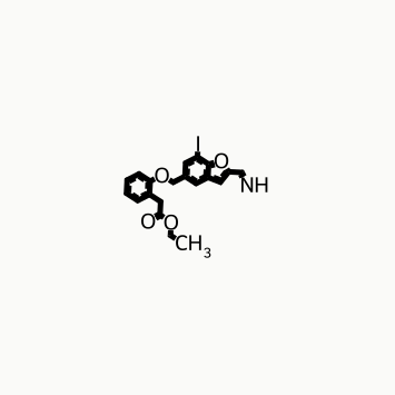 CCOC(=O)Cc1ccccc1OCc1cc(I)c2oc(C=N)cc2c1